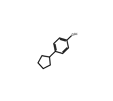 CC(=O)Oc1ccc(C2CCCC2)cc1